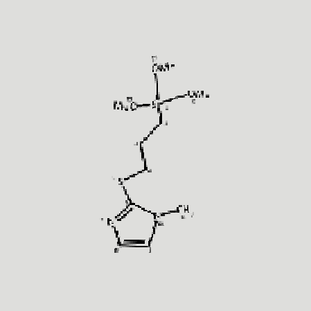 CO[Si](CCCSc1nccn1C)(OC)OC